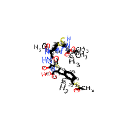 CON=C(C(=O)N[C@@H]1C(=O)N2C(C(=O)O)=C(Cc3cccc(CSC(C)=O)c3C)CS[C@H]12)c1csc(NC(=O)OC(C)(C)C)n1